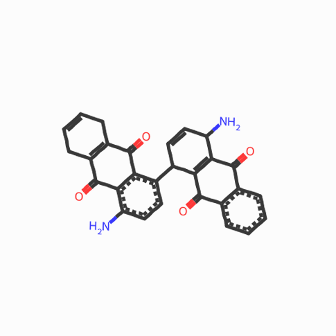 Nc1ccc(C2C=CC(N)C3=C2C(=O)c2ccccc2C3=O)c2c1C(=O)C1=C(CC=CC1)C2=O